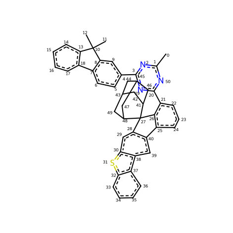 Cc1nc(-c2ccc3c(c2)C(C)(C)c2ccccc2-3)nc(-c2cccc3c2C2(c4cc5sc6ccccc6c5cc4-3)C3CC4CC(C3)CC2C4)n1